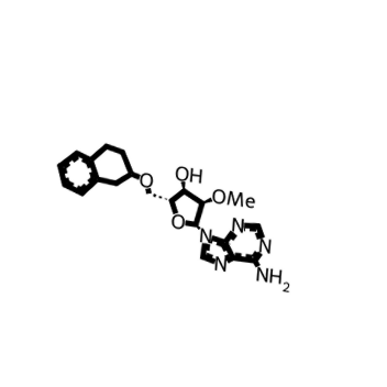 CO[C@@H]1[C@H](O)[C@@H](COC2CCc3ccccc3C2)O[C@H]1n1cnc2c(N)ncnc21